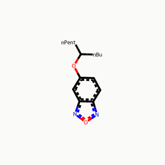 CCCCCC(CCCC)Oc1ccc2nonc2c1